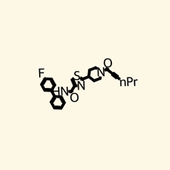 CCCC#CC(=O)N1CCC(c2nc(C(=O)Nc3ccccc3-c3ccc(F)cc3)cs2)CC1